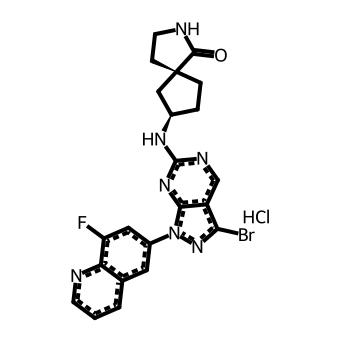 Cl.O=C1NCC[C@]12CC[C@@H](Nc1ncc3c(Br)nn(-c4cc(F)c5ncccc5c4)c3n1)C2